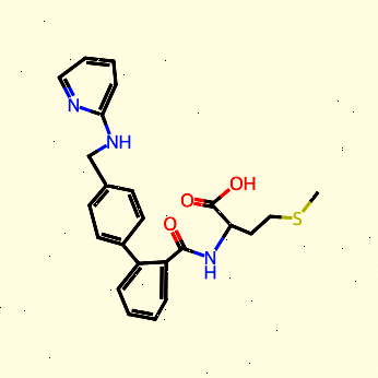 CSCCC(NC(=O)c1ccccc1-c1ccc(CNc2ccccn2)cc1)C(=O)O